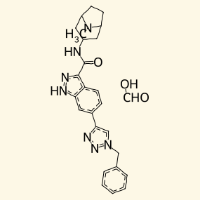 CN1C2CCC1CC(NC(=O)c1n[nH]c3cc(-c4cn(Cc5ccccc5)nn4)ccc13)C2.O=CO